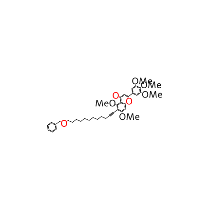 COc1cc2oc(-c3cc(OC)c(OC)c(OC)c3)cc(=O)c2c(OC)c1C#CCCCCCCCCCCOCc1ccccc1